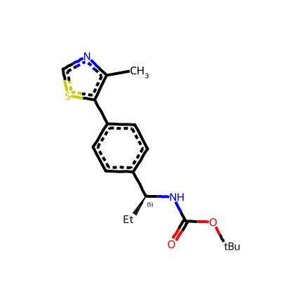 CC[C@H](NC(=O)OC(C)(C)C)c1ccc(-c2scnc2C)cc1